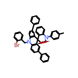 Cc1ccc(N2c3ccccc3C3(c4cc(-c5ccccc5)ccc4N(Cc4ccccc4Br)c4ccc(-c5ccccc5)cc43)c3ccccc32)cc1